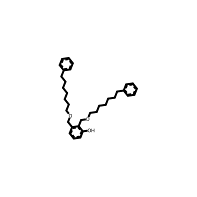 Oc1cccc(COCCCCCCCc2ccccc2)c1COCCCCCCCc1ccccc1